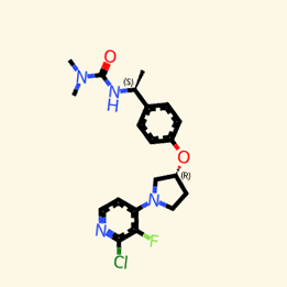 C[C@H](NC(=O)N(C)C)c1ccc(O[C@@H]2CCN(c3ccnc(Cl)c3F)C2)cc1